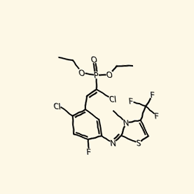 CCOP(=O)(OCC)C(Cl)=Cc1cc(N=c2scc(C(F)(F)F)n2C)c(F)cc1Cl